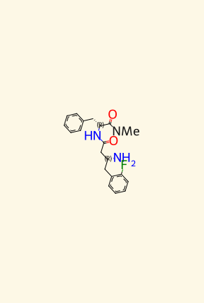 CNC(=O)[C@@H](Cc1ccccc1)NC(=O)C[C@H](N)Cc1ccccc1F